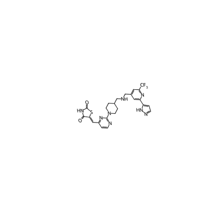 O=C1NC(=O)C(=Cc2ccnc(N3CCC(CNCc4cc(-c5ccn[nH]5)nc(C(F)(F)F)c4)CC3)n2)S1